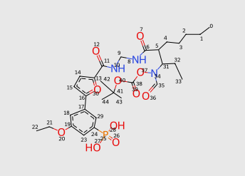 CCCCCC(C(=O)NCNC(=O)c1ccc(-c2cc(OCC)cc(P(=O)(O)O)c2)o1)C(CC)N(C=O)OC(=O)OC(C)(C)C